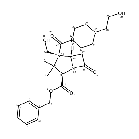 CC1(C)[C@H](C(=O)OCc2ccccc2)N2C(=O)C[C@H]2[S@@]1(CO)C(=O)N1CCN(CCO)CC1